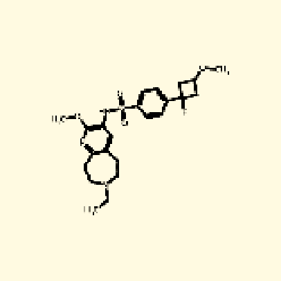 CCN1CCc2cc(NS(=O)(=O)c3ccc(C4(F)CC(OC)C4)cc3)c(OC)nc2CC1